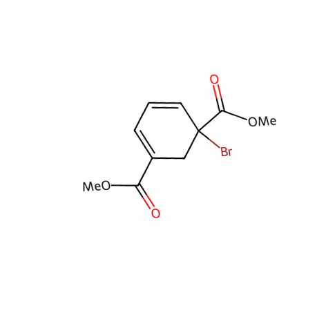 COC(=O)C1=CC=CC(Br)(C(=O)OC)C1